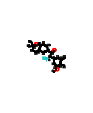 COc1cc(C([18F])C(=O)c2ccc3c(c2)CCC(C)(C)O3)cc(C)c1C